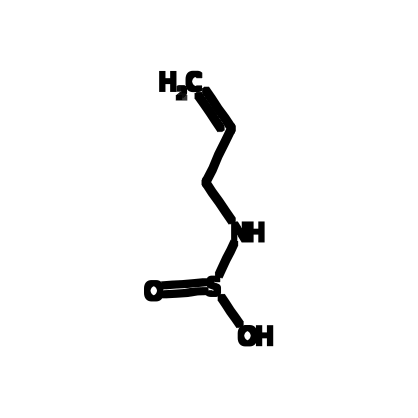 C=CCNS(=O)O